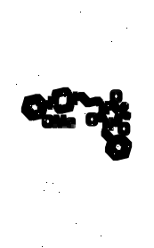 COc1ccccc1N1CCN(CCCN2C(=O)N(Cc3ccccc3)C(=O)C(C)(C)C2=O)CC1